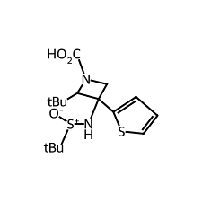 CC(C)(C)C1N(C(=O)O)CC1(N[S+]([O-])C(C)(C)C)c1cccs1